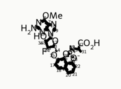 COc1nc(N)nc2c1ncn2[C@@H]1O[C@H](COc2ccc3ccccc3c2O/[P+]([O-])=N/C(C)C(=O)O)[C@H](F)[C@@]1(C)O